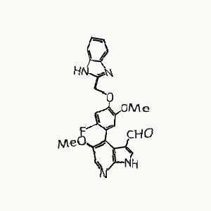 COc1cc(-c2c(OC)cnc3[nH]cc(C=O)c23)c(F)cc1OCc1nc2ccccc2[nH]1